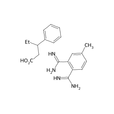 CCC(CC(=O)O)c1ccccc1.Cc1ccc(C(=N)N)c(C(=N)N)c1